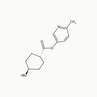 CCCC[C@H]1CC[C@H](C(=O)Oc2ccc(C)nc2)CC1